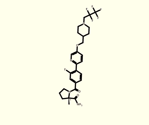 C[C@@]1(C(N)=O)CCCN1C(=O)c1ccc(-c2ccc(OCC3CCN(CC(F)(F)C(F)(F)F)CC3)cn2)c(F)c1